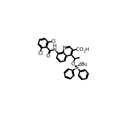 CC(O[Si](c1ccccc1)(c1ccccc1)C(C)(C)C)c1c(C(=O)O)cnc2c(NC(=O)c3c(Cl)cccc3Cl)cccc12